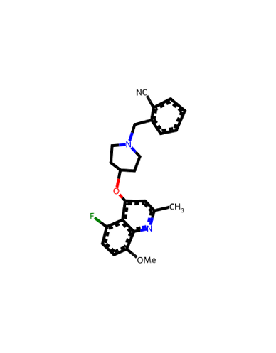 COc1ccc(F)c2c(OC3CCN(Cc4ccccc4C#N)CC3)cc(C)nc12